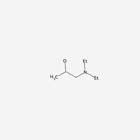 CCN(CC)CC(C)[O]